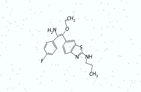 C=CO/C(=C(\N)c1ccc(F)cc1)c1ccc2nc(NCCC)sc2c1